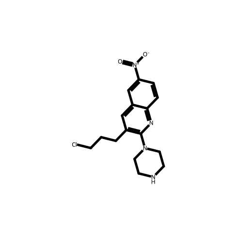 O=[N+]([O-])c1ccc2nc(N3CCNCC3)c(CCCCl)cc2c1